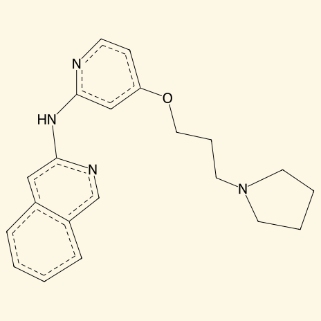 c1ccc2cc(Nc3cc(OCCCN4CCCC4)ccn3)ncc2c1